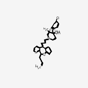 C=CCC1Oc2ccccc2C(=CCCN2CCC(O)(c3ccc(Cl)cc3)C(C)(C)C2)c2cccnc21